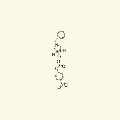 O=C(OC[C@H]1[C@H]2CN(Cc3ccccc3)C[C@@H]12)Oc1ccc([N+](=O)[O-])cc1